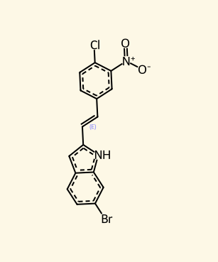 O=[N+]([O-])c1cc(/C=C/c2cc3ccc(Br)cc3[nH]2)ccc1Cl